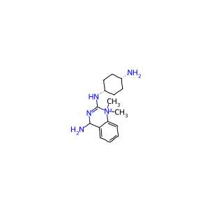 C[N+]1(C)C(N[C@H]2CC[C@@H](N)CC2)=NC(N)c2ccccc21